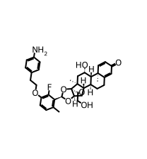 Cc1ccc(OCCc2ccc(N)cc2)c(F)c1[C@@H]1O[C@@H]2C[C@H]3[C@@H]4CCC5=CC(=O)C=C[C@]5(C)[C@H]4[C@@H](O)C[C@]3(C)[C@]2(C(=O)CO)O1